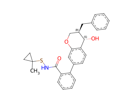 CC1(SNC(=O)c2ccccc2-c2ccc3c(c2)OC[C@@H](Cc2ccccc2)[C@@H]3O)CC1